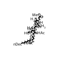 CCCCCCCCCCCCCCCC(=O)O[C@H](CCCCCCCCCCC)CC(=O)S[C@@H]1O[C@H](CO)[C@@H](O)[C@@H](OC(C)C(=O)N[C@@H](C)C(=O)N[C@H](CCC(=O)OC)C(N)=O)[C@H]1NC(C)=O